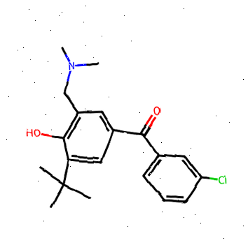 CN(C)Cc1cc(C(=O)c2cccc(Cl)c2)cc(C(C)(C)C)c1O